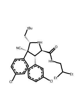 CCC(CC)CNC(=O)[C@@H]1N[C@@H](CC(C)(C)C)[C@](C#N)(c2ccc(Cl)cc2)[C@H]1c1cccc(Cl)c1